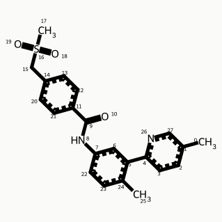 Cc1ccc(-c2cc(NC(=O)c3ccc(CS(C)(=O)=O)cc3)ccc2C)nc1